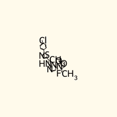 C[C@H](Nc1nccc(N2C(=O)OCC2[C@H](C)F)n1)c1cnc(-c2ccc(Cl)cc2)s1